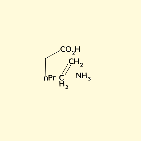 C=C.CCCCC(=O)O.N